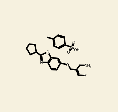 Cc1ccc(S(=O)(=O)O)cc1.NC/C(=C\F)COc1ccc2nc(C3CCCC3)oc2c1